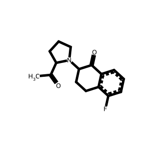 CC(=O)C1CCCN1C1CCc2c(F)cccc2C1=O